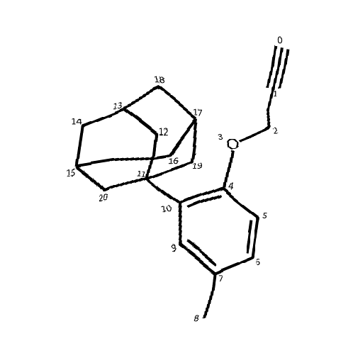 C#CCOc1ccc(C)cc1C12CC3CC(CC(C3)C1)C2